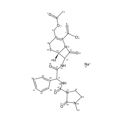 CC(=O)OCC1=C(C(=O)[O-])N2C(=O)C(NC(=O)C(NC(=O)N3CCN(C)C3=O)c3ccccc3)[C@@H]2SC1.[Na+]